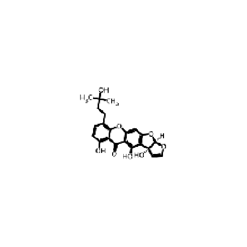 CC(C)(O)CCc1ccc(O)c2c(=O)c3c(O)c4c(cc3oc12)O[C@H]1OC=C[C@@]41O